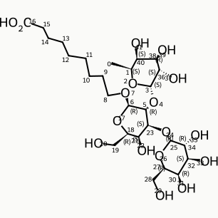 C[C@@H]1O[C@@H](O[C@H]2[C@H](OCCCCCCCCC(=O)O)O[C@H](CO)[C@H](O)[C@@H]2O[C@H]2O[C@H](CO)[C@H](O)[C@H](O)[C@H]2O)[C@@H](O)[C@H](O)[C@@H]1O